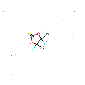 CCC1(F)OC(=S)OC1(F)CC